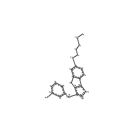 COCCCOc1ccc2c(c1)Cc1c-2n[nH]c1Nc1cccc(F)c1